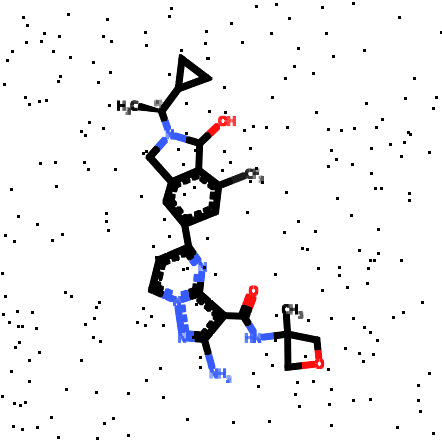 C[C@@H](C1CC1)N1Cc2cc(-c3ccn4nc(N)c(C(=O)NC5(C)COC5)c4n3)cc(C(F)(F)F)c2C1O